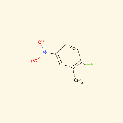 Cc1cc(N(O)O)ccc1F